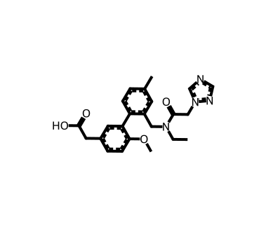 CCN(Cc1cc(C)ccc1-c1cc(CC(=O)O)ccc1OC)C(=O)Cn1cncn1